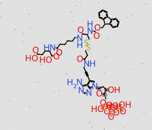 Nc1ncnc2c1c(C#CCNC(=O)CCSSCC(NC(=O)OCC1c3ccccc3-c3ccccc31)C(=O)NCCCCCC(=O)NC(CCC(=O)O)C(=O)O)cn2[C@H]1C[C@@H](O)[C@@H](COP(=O)(O)OP(=O)(O)OP(=O)(O)O)O1